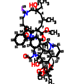 CC[C@]1(O)C[C@@H](C)C[C@](C(=O)OC)(c2cc3c(cc2OC)N(C=O)[C@H]2[C@@](O)(C(=O)OC)[C@H](OC(C)=O)[C@]4(CC)C=CCN5CC[C@]32[C@@H]54)c2[nH]c3ccccc3c2CCN(I)C1